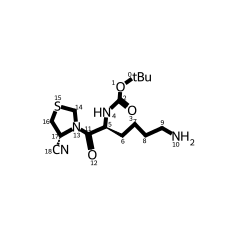 CC(C)(C)OC(=O)N[C@@H](CCCCN)C(=O)N1CSC[C@H]1C#N